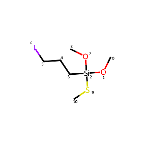 CO[Si](CCCI)(OC)SC